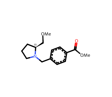 COC[C@@H]1CCCN1Cc1ccc(C(=O)OC)cc1